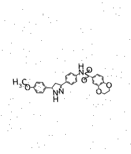 COc1ccc(C2CC(c3ccc(NS(=O)(=O)c4ccc5c(c4)OCCO5)cc3)=NN2)cc1